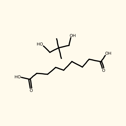 CC(C)(CO)CO.O=C(O)CCCCCCCC(=O)O